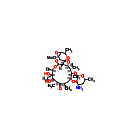 CC[C@H]1OC(=O)[C@H]2[C@@H](OC23CC2(OC)OC2C(C)O3)[C@H](C)[C@@H](OC2CC(N)CC(C)O2)[C@@](C)(O)C[C@@H](C)C(=O)[C@H](C)[C@@H](O)[C@]1(C)O